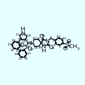 CS(=O)(=O)c1ccc(CN2C(=O)NC3(CCN(C([C@@H]4CNC[C@@H]4c4ccccc4)S(=O)(=O)c4ccccc4)CC3)C2=O)cc1